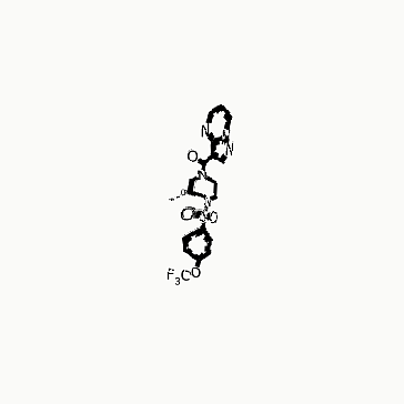 C[C@@H]1CN(C(=O)c2cnn3cccnc23)CCN1S(=O)(=O)c1ccc(OC(F)(F)F)cc1